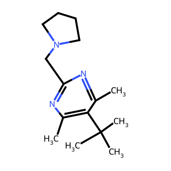 Cc1nc(CN2CCCC2)nc(C)c1C(C)(C)C